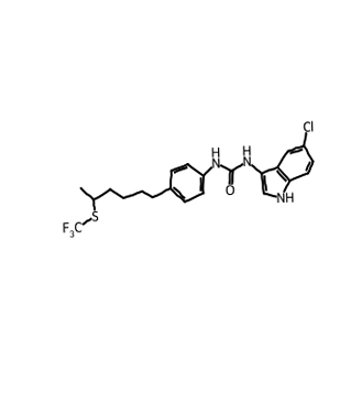 CC(CCCCc1ccc(NC(=O)Nc2c[nH]c3ccc(Cl)cc23)cc1)SC(F)(F)F